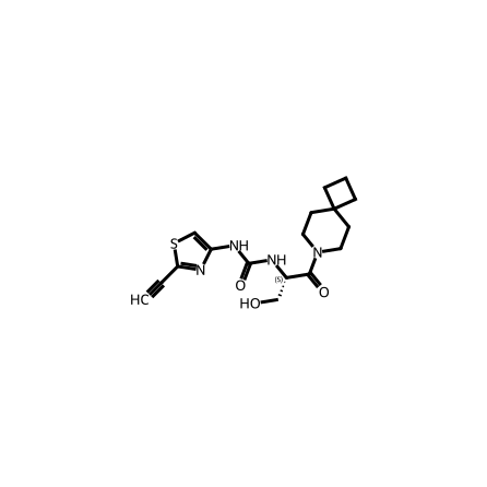 C#Cc1nc(NC(=O)N[C@@H](CO)C(=O)N2CCC3(CCC3)CC2)cs1